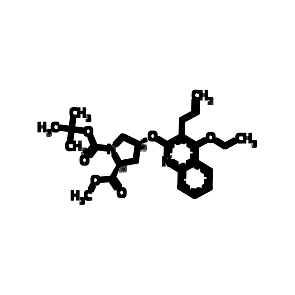 C=CCc1c(O[C@@H]2C[C@@H](C(=O)OC)N(C(=O)OC(C)(C)C)C2)nc2ccccc2c1OCC